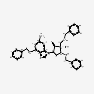 C=C1C(n2cnc3c(OCc4ccccc4)nc(N)nc32)C[C@H](OCc2ccccc2)[C@]1(F)COCc1ccccc1